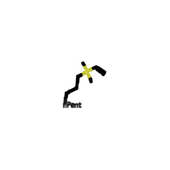 C=CS(C)(C)CCCCCCCC